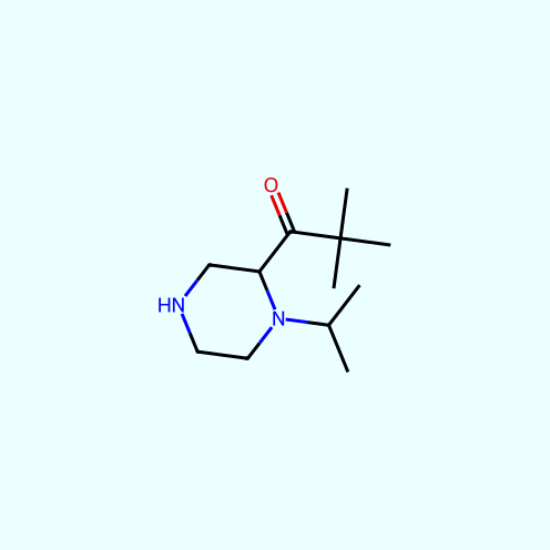 CC(C)N1CCNCC1C(=O)C(C)(C)C